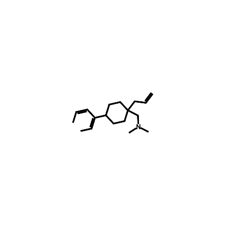 C=CCC1(CN(C)C)CCC(C(/C=C\C)=C/C)CC1